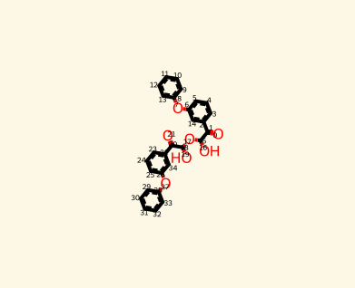 O=C(c1cccc(Oc2ccccc2)c1)C(O)OC(O)C(=O)c1cccc(Oc2ccccc2)c1